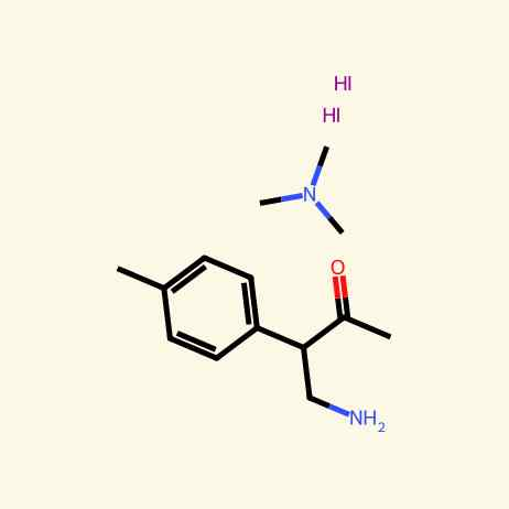 CC(=O)C(CN)c1ccc(C)cc1.CN(C)C.I.I